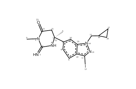 CN1C(=N)N[C@](C)(c2ccc3c(I)nn(CC4CC4)c3c2)CC1=O